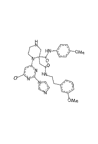 COc1ccc(NC(=O)C2(CC(=O)NCCc3cccc(OC)c3)CNCCN2c2cc(Cl)nc(-n3ccnc3)n2)cc1